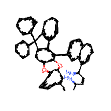 CC(=N)/C=C\C(=N)c1cccc2ccc(-c3c4c(cc5c3-c3ccccc3C5(c3ccccc3)c3ccccc3)Oc3ccc(C)cc3O4)cc12